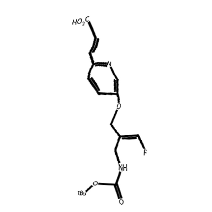 CC(C)(C)OC(=O)NCC(=CF)COc1ccc(C=CC(=O)O)nc1